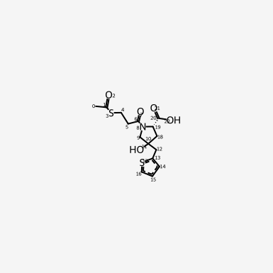 CC(=O)SCCC(=O)N1CC(O)(Cc2cccs2)C[C@H]1C(=O)O